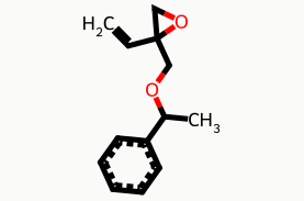 C=CC1(COC(C)c2ccccc2)CO1